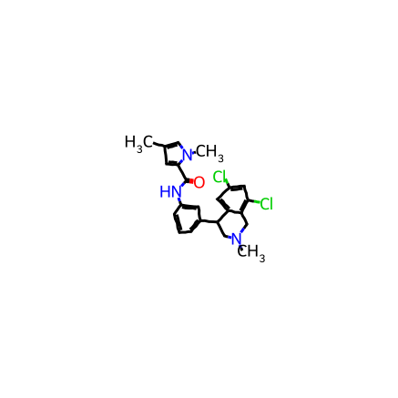 Cc1cc(C(=O)Nc2cccc(C3CN(C)Cc4c(Cl)cc(Cl)cc43)c2)n(C)c1